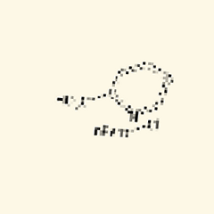 CCCCCCl.O=C(O)c1ccncn1